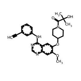 C#Cc1cccc(Nc2ncnc3cc(OC)c(OC4CCN(C(=O)C(C)(C)O)CC4)cc23)c1